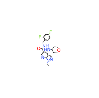 CCn1ncc2c(NC3CCOCC3)c(C(=O)NCc3ccc(F)cc3F)cnc21